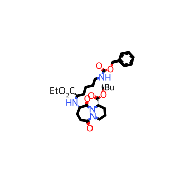 CCOC(=O)[C@@H](CCCCNC(=O)OCc1ccccc1)N[C@H]1CCC(=O)N2CCC[C@@H](C(=O)OC(C)(C)C)N2C1=O